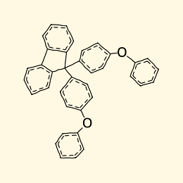 c1ccc(Oc2ccc(C3(c4ccc(Oc5ccccc5)cc4)c4ccccc4-c4ccccc43)cc2)cc1